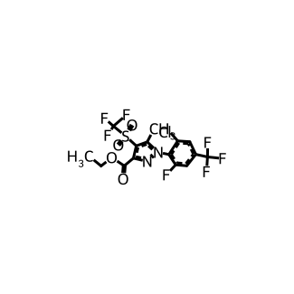 CCOC(=O)c1nn(-c2c(F)cc(C(F)(F)F)cc2Cl)c(C)c1S(=O)(=O)C(F)(F)F